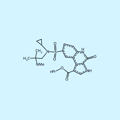 CCCOC(=O)c1c[nH]c2c(=O)[nH]c3ccc(S(=O)(=O)N(CC(C)(C)NC)C4CC4)cc3c12